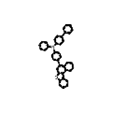 c1ccc(-c2ccc(N(c3ccccc3)c3ccc(-c4cc5oc6ccccc6c5c5ccccc45)cc3)cc2)cc1